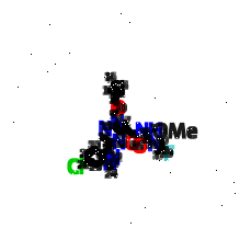 COC[C@@H](NC(=O)c1cn(COCC[Si](C)(C)C)c2ncc(-c3nn(C)c4cc(Cl)ccc34)nc12)C(=O)N1CC(F)C1